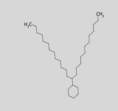 CCCCCCCCCCCCCC(CCCCCCCCCCCC)C1CCCCC1